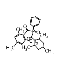 Cc1cc(C)c(C(=O)P(=O)(C(=O)C2C(C)CC(C)CC2C)c2ccccc2)c(C)c1